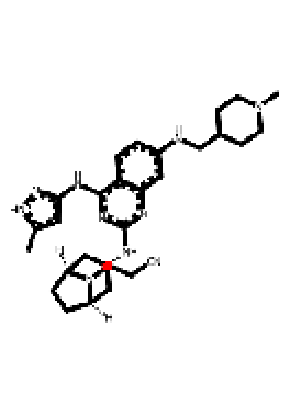 Cc1cc(Nc2nc(N[C@@H]3C[C@H]4CC[C@@H](C3)N4CCC#N)nc3cc(NCC4CCN(C)CC4)ccc23)n[nH]1